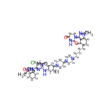 CCc1cc(Nc2ncc(Cl)c(Nc3ccccc3P(C)(C)=O)n2)c(OC)cc1N1CCC(N2CCN(CCCCCc3ccc4c(c3)c(N3CCC(=O)NC3=O)nn4C)CC2)CC1